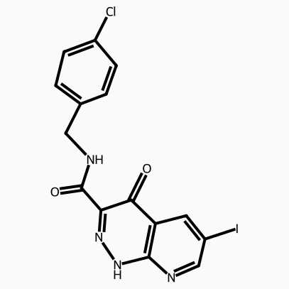 O=C(NCc1ccc(Cl)cc1)c1n[nH]c2ncc(I)cc2c1=O